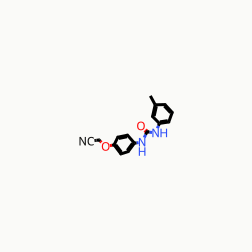 Cc1cccc(NC(=O)Nc2ccc(OCC#N)cc2)c1